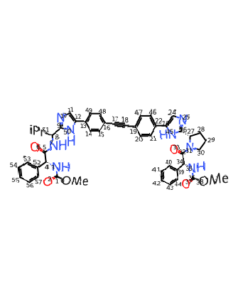 COC(=O)N[C@@H](C(=O)N[C@H](c1ncc(-c2ccc(C#Cc3ccc(-c4cnc([C@@H]5CCCN5C(=O)[C@H](NC(=O)OC)c5ccccc5)[nH]4)cc3)cc2)[nH]1)C(C)C)c1ccccc1